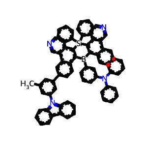 Cc1cc(-c2ccc3c4c(c5ccncc5c3c2)[Si](c2ccccc2)(c2ccccc2)c2c(c3ccccc3c3cnccc23)B4c2cccc(N(c3ccccc3)c3ccccc3)c2)cc(-n2c3ccccc3c3ccccc32)c1